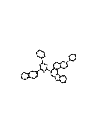 c1ccc(-c2ccc3c(ccc4c(-c5nc(-c6ccccc6)nc(-c6ccc7ccccc7c6)n5)cc5oc6ccccc6c5c43)c2)cc1